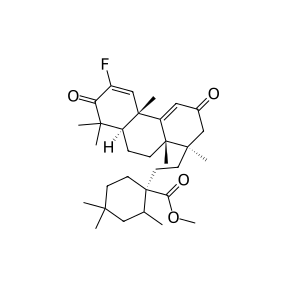 COC(=O)[C@]1(CC[C@]2(C)CC(=O)C=C3[C@@]4(C)C=C(F)C(=O)C(C)(C)[C@@H]4CC[C@]32C)CCC(C)(C)CC1C